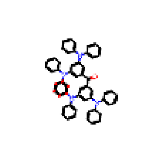 O=C(c1cc(N(c2ccccc2)c2ccccc2)cc(N(c2ccccc2)c2ccccc2)c1)c1cc(N(c2ccccc2)c2ccccc2)cc(N(c2ccccc2)C2C=CC=CC2)c1